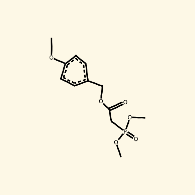 COc1ccc(COC(=O)CP(=O)(OC)OC)cc1